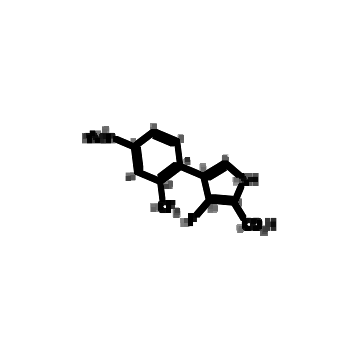 CCCCCCCCCc1ccc(-c2c[nH]c(C(=O)O)c2F)c(C(F)(F)F)c1